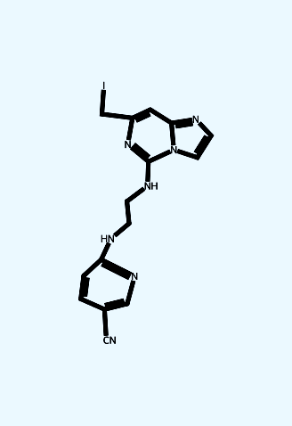 N#Cc1ccc(NCCNc2nc(CI)cc3nccn23)nc1